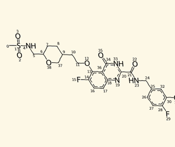 CS(=O)(=O)NCC1CCC(CCOc2c(F)ccc3nc(C(=O)NCc4ccc(F)c(Cl)c4)[nH]c(=O)c23)CO1